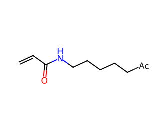 C=CC(=O)NCCCCCC(C)=O